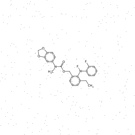 CCc1cccc(COC(=O)N(C)c2ccc3c(c2)OCO3)c1N(F)c1ccccc1F